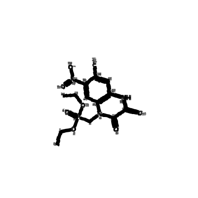 CCOP(=O)(Cn1c(=O)c(=O)[nH]c2cc(F)c([N+](=O)[O-])cc21)OCC